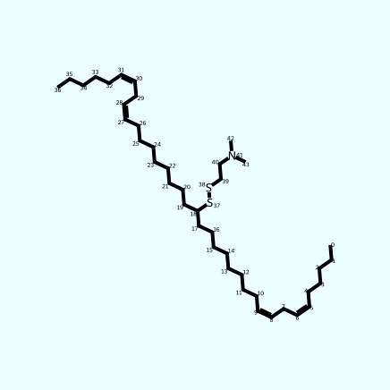 CCCCC/C=C\C/C=C\CCCCCCCCC(CCCCCCCC/C=C\C/C=C\CCCCC)SSCCN(C)C